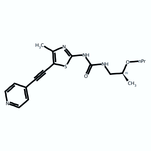 CCCO[C@@H](C)CNC(=O)Nc1nc(C)c(C#Cc2ccncc2)s1